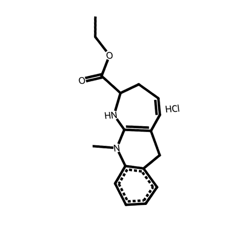 CCOC(=O)C1CC=CC2=C(N1)N(C)c1ccccc1C2.Cl